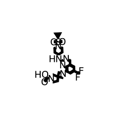 O=C(O)N1CCC2(C1)CN(c1cc(C(F)F)cc3cnc(NC4CCN(S(=O)(=O)C5CC5)CC4)nc13)C2